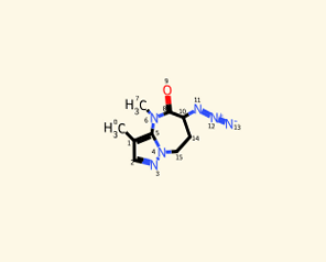 Cc1cnn2c1N(C)C(=O)C(N=[N+]=[N-])CC2